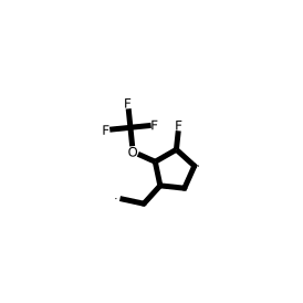 [CH2]CC1C[CH]C(F)C1OC(F)(F)F